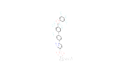 CCCCCC1COC(c2ccc(-c3ccc(-c4cc(F)c(C(F)(F)Oc5cc(F)c(F)c(F)c5)c(F)c4)c(F)c3)nc2)OC1